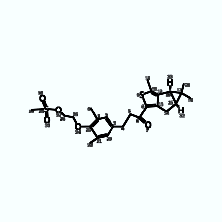 Cc1cc(CCC(=O)c2sc(C)c3c2C[C@@H]2[C@H]3C2(C)C)cc(C)c1OCCOS(C)(=O)=O